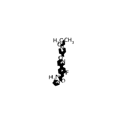 CC(C)CC(=O)N1CCC(COc2ccc(-c3ccc(C[C@H](N)C(=O)N4CCCC4)c(F)c3)cn2)CC1